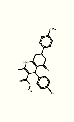 CCc1ccc(C2C(C(=O)OC(C)CC)=C(C)NC3=C2C(=O)CC(c2ccc(OC)cc2)C3)cc1